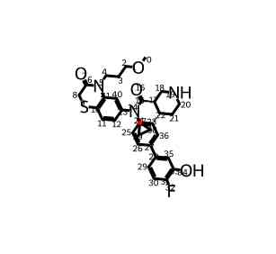 COCCCN1C(=O)CSc2ccc(N(C(=O)[C@H]3CNCC[C@@H]3c3cccc(-c4ccc(F)c(O)c4)c3)C3CC3)cc21